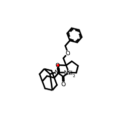 NC(=O)C12CC3CC(C1)C(N1CC4(COCc5ccccc5)CCCN4C1=O)C(C3)C2